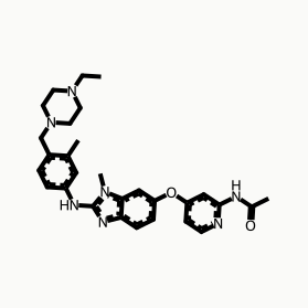 CCN1CCN(Cc2ccc(Nc3nc4ccc(Oc5ccnc(NC(C)=O)c5)cc4n3C)cc2C)CC1